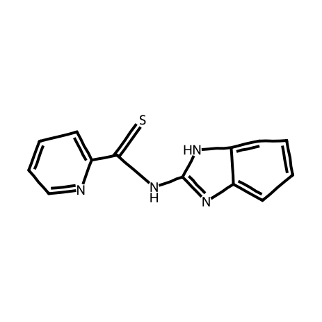 S=C(Nc1nc2ccccc2[nH]1)c1ccccn1